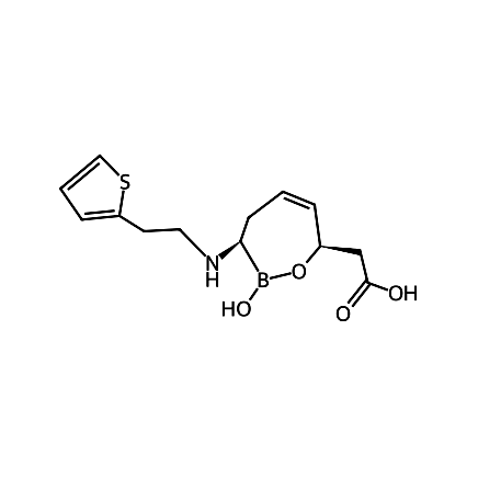 O=C(O)C[C@@H]1C=CC[C@H](NCCc2cccs2)B(O)O1